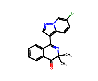 CC1(C)N=C(c2cnn3cc(Br)ccc23)c2ccccc2C1=O